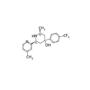 Cc1ccnc([C@@H]2CC(O)(c3ccc(C(F)(F)F)cc3)C[C@H](C)N2)c1